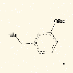 CC(C)COc1cccc(CC(C)(C)C)c1